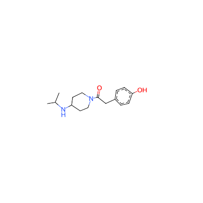 CC(C)NC1CCN(C(=O)Cc2ccc(O)cc2)CC1